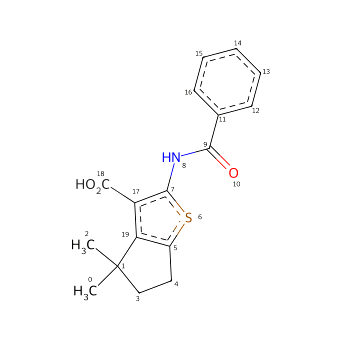 CC1(C)CCc2sc(NC(=O)c3ccccc3)c(C(=O)O)c21